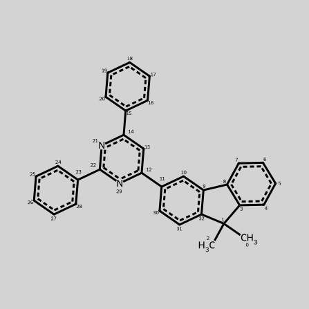 CC1(C)c2ccccc2-c2cc(-c3cc(-c4ccccc4)nc(-c4ccccc4)n3)ccc21